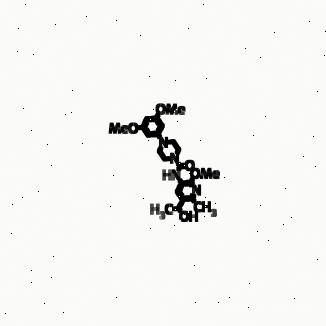 COc1cc(OC)cc(N2CCN(C(=O)Nc3cc(C(C)O)c(C)nc3OC)CC2)c1